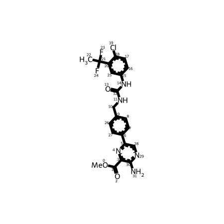 COC(=O)c1nc(-c2ccc(CNC(=O)Nc3ccc(Cl)c(C(C)(F)F)c3)cc2)cnc1N